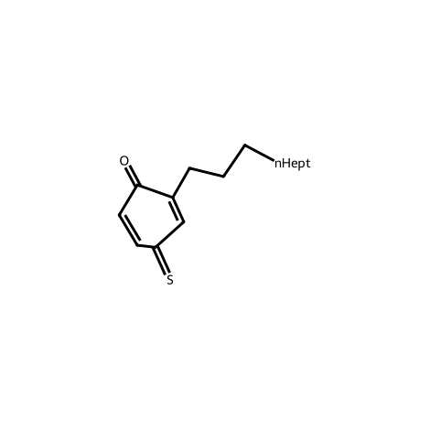 CCCCCCCCCCC1=CC(=S)C=CC1=O